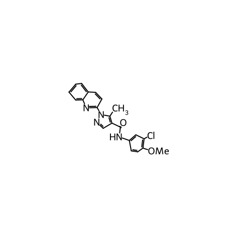 COc1ccc(NC(=O)c2cnn(-c3ccc4ccccc4n3)c2C)cc1Cl